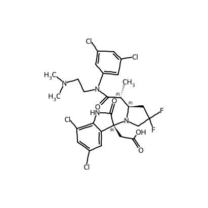 C[C@@H](C(=O)N(CCN(C)C)c1cc(Cl)cc(Cl)c1)[C@H]1CC(F)(F)CN1[C@@]1(CC(=O)O)C(=O)Nc2c(Cl)cc(Cl)cc21